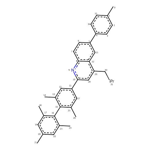 Cc1ccc(-c2ccc3nc(-c4cc(C)c(-c5c(C)cc(C)cc5C)c(C)c4)cc(CC(C)C)c3c2)cc1